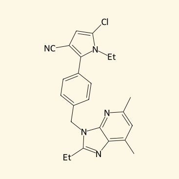 CCc1nc2c(C)cc(C)nc2n1Cc1ccc(-c2c(C#N)cc(Cl)n2CC)cc1